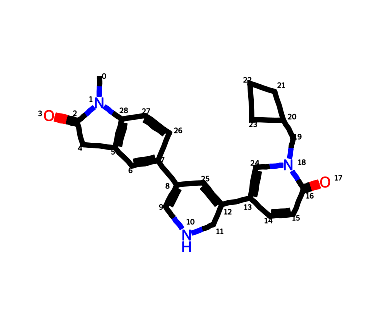 CN1C(=O)Cc2cc(C3=CNCC(c4ccc(=O)n(CC5CCC5)c4)=C3)ccc21